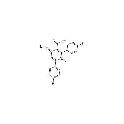 Cn1c(-c2ccc(F)cc2)cc(=O)c(C(=O)[O-])c1-c1ccc(F)cc1.[Na+]